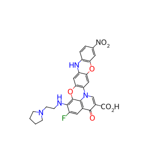 O=C(O)c1cn2c3cc4oc5cc([N+](=O)[O-])ccc5[nH]c4cc3oc3c(NCCN4CCCC4)c(F)cc(c1=O)c32